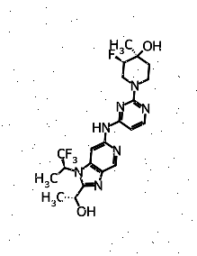 C[C@H](n1c([C@@H](C)O)nc2cnc(Nc3ccnc(N4CC[C@](C)(O)[C@H](F)C4)n3)cc21)C(F)(F)F